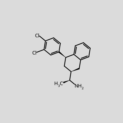 C[C@H](N)[C@@H]1Cc2ccccc2[C@H](c2ccc(Cl)c(Cl)c2)C1